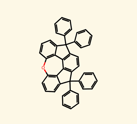 c1ccc(C2(c3ccccc3)c3cccc4c3-c3c2ccc2c3-c3c(cccc3C2(c2ccccc2)c2ccccc2)O4)cc1